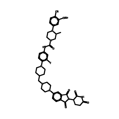 COc1cc(N2CCN(C(=O)Nc3ccc(N4CCC(CN5CCN(c6ccc7c(c6)C(=O)N(C6CCC(=O)NC6=O)C7=O)CC5)CC4)c(F)c3)CC2C)ccc1C#N